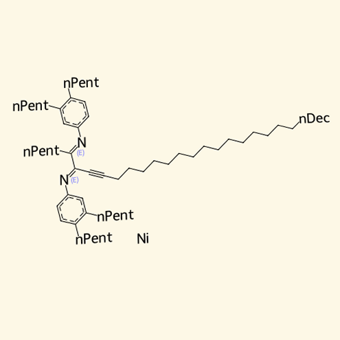 CCCCCCCCCCCCCCCCCCCCCCCCCC#CC(=N\c1ccc(CCCCC)c(CCCCC)c1)/C(CCCCC)=N/c1ccc(CCCCC)c(CCCCC)c1.[Ni]